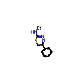 CCNC1=NN=C(c2ccccc2)CS1